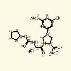 COC(=O)[C@@H]1CN(c2cc(Cl)nc(SC)n2)CN1C(=O)[C@@H](NC(=O)OC1CCCC1)C(C)(C)C